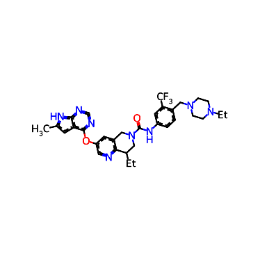 CCC1CN(C(=O)Nc2ccc(CN3CCN(CC)CC3)c(C(F)(F)F)c2)Cc2cc(Oc3ncnc4[nH]c(C)cc34)cnc21